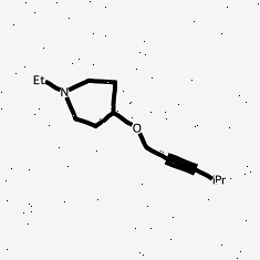 CCN1CCC(OCC#CC(C)C)CC1